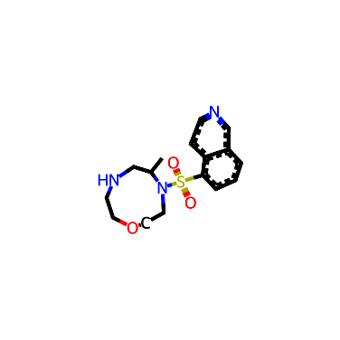 CC1CNCCOCCN1S(=O)(=O)c1cccc2cnccc12